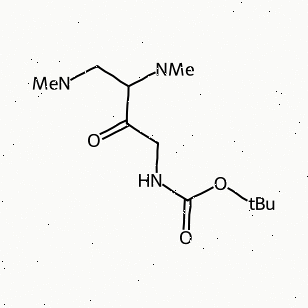 CNCC(NC)C(=O)CNC(=O)OC(C)(C)C